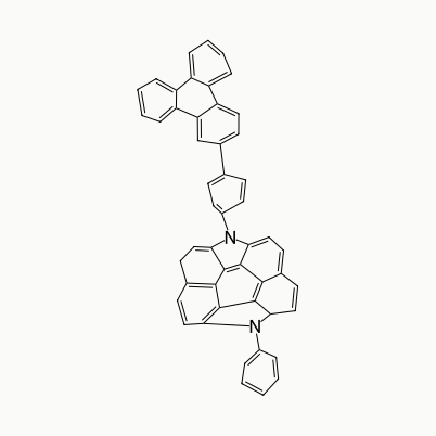 C1=CC2c3c4c(ccc5c4c4c(n(-c6ccc(-c7ccc8c9ccccc9c9ccccc9c8c7)cc6)c6ccc1c3c46)=CC5)N2c1ccccc1